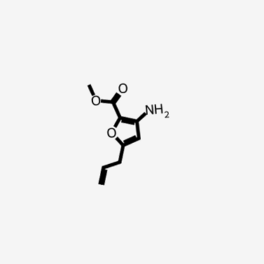 C=CCc1cc(N)c(C(=O)OC)o1